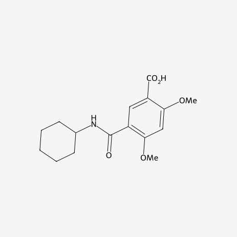 COc1cc(OC)c(C(=O)NC2CCCCC2)cc1C(=O)O